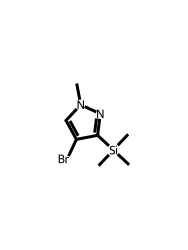 Cn1cc(Br)c([Si](C)(C)C)n1